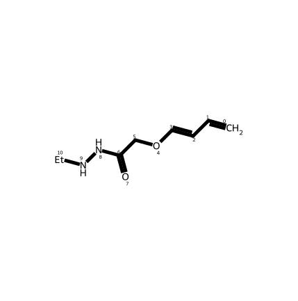 C=C/C=C/OCC(=O)NNCC